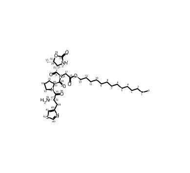 CCCCCCCCCCCCCCOC(=O)CN(C(=O)[C@H]1NC(=O)O[C@H]1C)C(=O)[C@@H]1CCCN1C(=O)[C@@H](N)Cc1cscn1